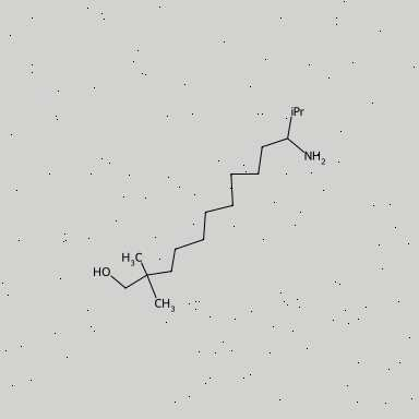 CC(C)C(N)CCCCCCCCC(C)(C)CO